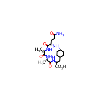 C[C@H](NC(=O)[C@H](C)NC(=O)[C@@H](N)CCC(N)=O)C(=O)N[C@@H](CC1CCCCC1)C(=O)O